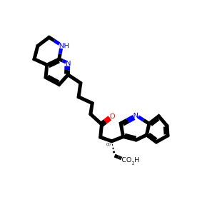 O=C(O)C[C@H](CC(=O)CCCCc1ccc2c(n1)NCCC2)c1cnc2ccccc2c1